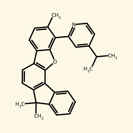 Cc1ccc2c(oc3c4c(ccc32)C(C)(C)c2ccccc2-4)c1-c1cc(C(C)C)ccn1